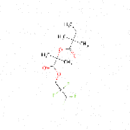 CCC(C)(C)C(=O)OC(C)(C)C(=O)OCC(F)(F)C(F)F